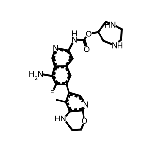 Cc1c(-c2cc3cc(NC(=O)OC4CNCCNC4)ncc3c(N)c2F)cnc2c1NCCO2